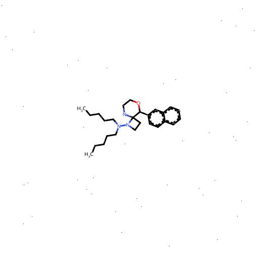 CCCCCN(CCCCC)N1CCC12[N]CCOC2c1ccc2ccccc2c1